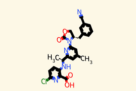 Cc1cc([C@@H](C)Nc2ccc(Cl)nc2C(=O)O)nc(N2C(=O)OC[C@@H]2Cc2cccc(C#N)c2)c1